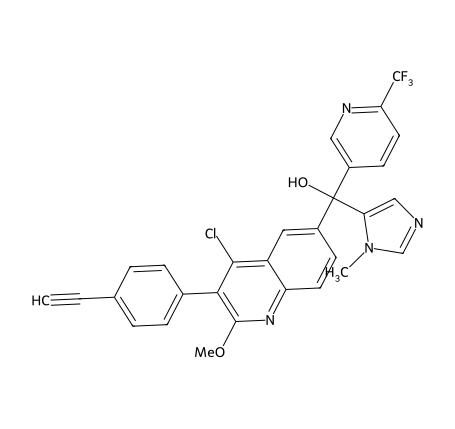 C#Cc1ccc(-c2c(OC)nc3ccc(C(O)(c4ccc(C(F)(F)F)nc4)c4cncn4C)cc3c2Cl)cc1